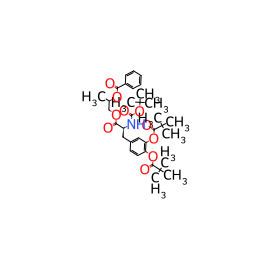 CC(COC(=O)[C@H](Cc1ccc(OC(=O)C(C)(C)C)c(OC(=O)C(C)(C)C)c1)NC(=O)OC(C)(C)C)OC(=O)c1ccccc1